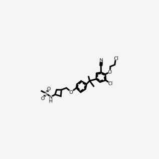 CC(C)(c1ccc(OCC2CC(NS(C)(=O)=O)C2)cc1)c1cc(Cl)c(OCCCl)c(C#N)c1